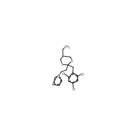 CCC1CSC(CCn2ccnc2)(Cc2c(Cl)cc(Cl)cc2Cl)SC1